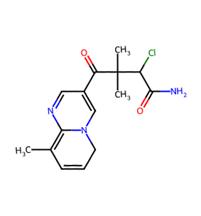 CC1=C2N=CC(C(=O)C(C)(C)C(Cl)C(N)=O)=CN2CC=C1